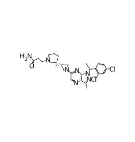 Cc1nn(C(C)c2ccc(Cl)cc2Cl)c2nc(N3CC([C@H]4CCCN(CCC(N)=O)C4)C3)cnc12